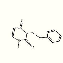 Cn1ccc(=O)n(CCc2ccccc2)c1=O